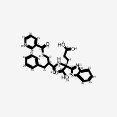 O=C(O)CC[C@](NC(=O)C(CSC(=O)c1cccnc1)Cc1ccccc1)(C(=O)O)c1nc2ccccc2s1